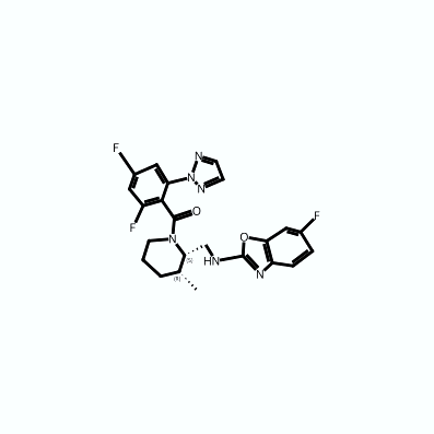 C[C@@H]1CCCN(C(=O)c2c(F)cc(F)cc2-n2nccn2)[C@@H]1CNc1nc2ccc(F)cc2o1